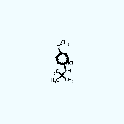 COc1ccc(PC(C)(C)C)cc1.Cl